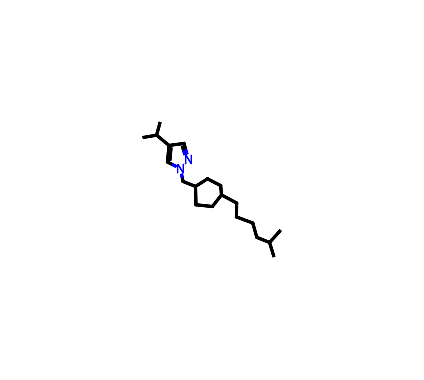 CC(C)CCCCC1CCC(Cn2cc(C(C)C)cn2)CC1